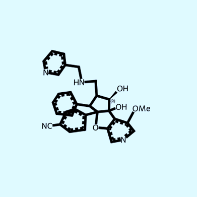 COc1cncc2c1C1(O)[C@H](O)C(CNCc3cccnc3)C(c3ccccc3)C1(c1ccc(C#N)cc1)O2